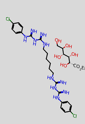 CCOC(=O)[C@H](O)[C@@H](O)[C@H](O)[C@H](O)CO.N=C(NCCCCCCNC(=N)NC(=N)Nc1ccc(Cl)cc1)NC(=N)Nc1ccc(Cl)cc1